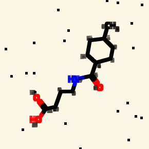 CC1CCC(C(=O)NCCCC(=O)O)CC1